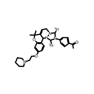 [2H]C1N(c2ccc(C(C)=O)cc2)C([2H])N2C3C(=CCN12)C(C)(C)Oc1cc(OCCN2CCCCC2)ccc13